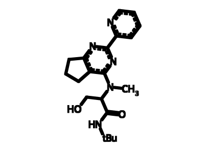 CN(c1nc(-c2ccccn2)nc2c1CCC2)C(CO)C(=O)NC(C)(C)C